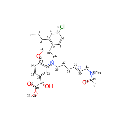 CCCc1cc(Cl)ccc1C1COc2ccc(C(O)C(=O)OC)cc2N(CCC/C=C/CN(C)C(C)=O)C1